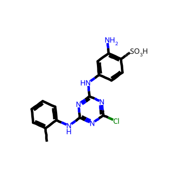 Cc1ccccc1Nc1nc(Cl)nc(Nc2ccc(S(=O)(=O)O)c(N)c2)n1